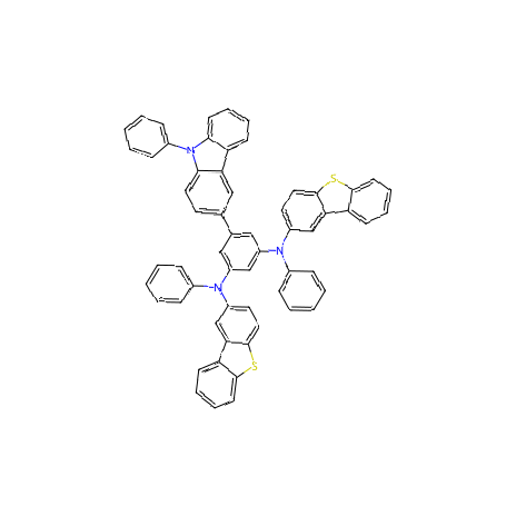 c1ccc(N(c2cc(-c3ccc4c(c3)c3ccccc3n4-c3ccccc3)cc(N(c3ccccc3)c3ccc4sc5ccccc5c4c3)c2)c2ccc3sc4ccccc4c3c2)cc1